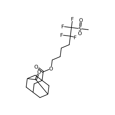 CS(=O)(=O)C(F)(F)C(F)(F)CCCCOC(=O)C12CC3CC(C1)C(=O)C(C3)C2